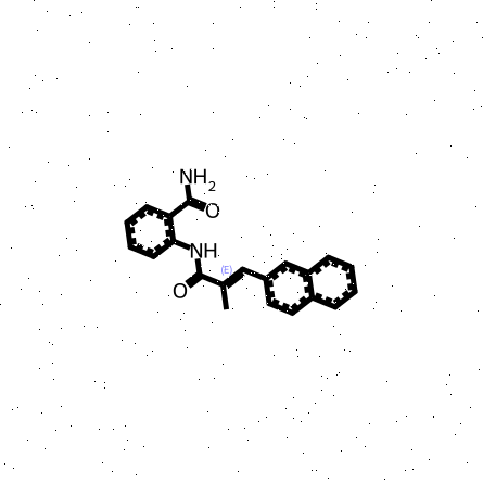 C/C(=C\c1ccc2ccccc2c1)C(=O)Nc1ccccc1C(N)=O